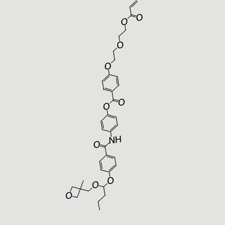 C=CC(=O)OCCOCCOc1ccc(C(=O)Oc2ccc(NC(=O)c3ccc(OC(CCC)OCC4(C)COC4)cc3)cc2)cc1